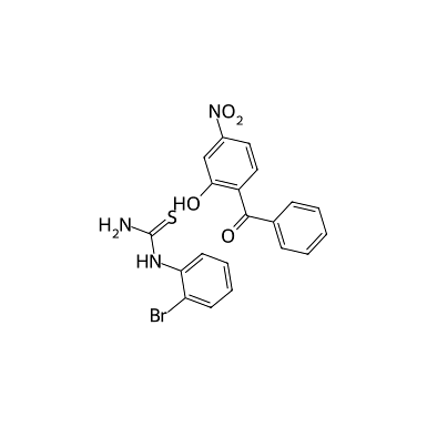 NC(=S)Nc1ccccc1Br.O=C(c1ccccc1)c1ccc([N+](=O)[O-])cc1O